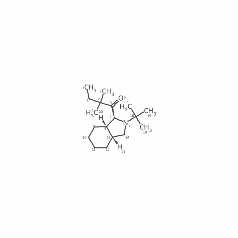 CCC(C)(C)C(=O)[C@@H]1[C@H]2CCCC[C@H]2CN1C(C)(C)C